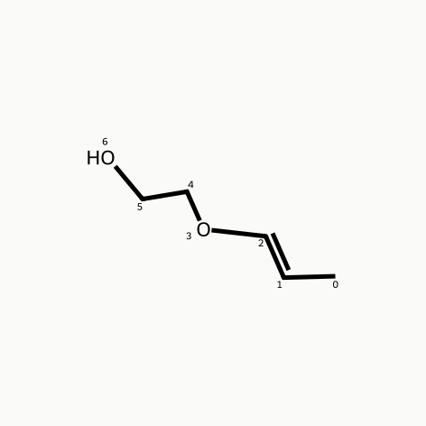 C/C=C/OCCO